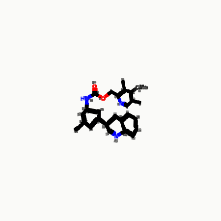 COc1c(C)cnc(COC(=O)Nc2cc(C)cc(-c3cnc4ccccc4c3)c2)c1C